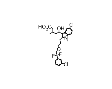 CC(CC(=O)O)CC(O)c1c(CCCOCC(F)(F)c2cccc(Cl)c2)n(C)c2ccc(Cl)cc12